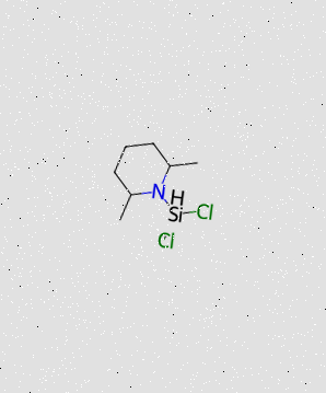 CC1CCCC(C)N1[SiH](Cl)Cl